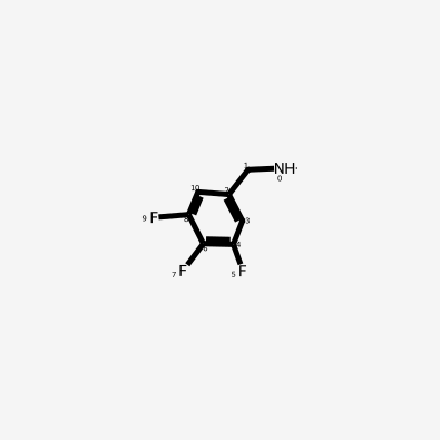 [NH]Cc1cc(F)c(F)c(F)c1